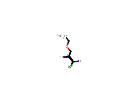 CCOC(=O)COC/C(I)=C(/Br)I